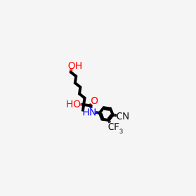 CC(O)(CCCCCCO)C(=O)Nc1ccc(C#N)c(C(F)(F)F)c1